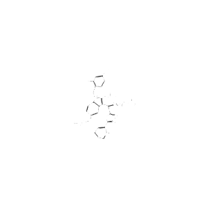 CO/N=C(\c1nnc(-c2ccccn2)o1)c1c(C)n(Cc2ccc(Cl)cc2Cl)c2ccc(OC)cc12